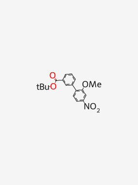 COc1cc([N+](=O)[O-])ccc1-c1cccc(C(=O)OC(C)(C)C)c1